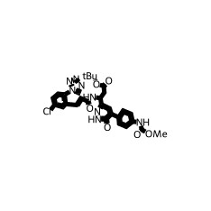 COC(=O)Nc1ccc(-c2cc(C(CC(=O)OC(C)(C)C)NC(=O)C=Cc3cc(Cl)ccc3-n3cnnn3)n[nH]c2=O)cc1